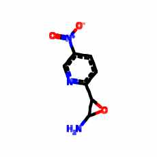 NC1OC1c1ccc([N+](=O)[O-])cn1